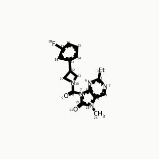 CCc1ncc2c(n1)n(C(=O)N1CC(c3cccc(F)c3)C1)c(=O)n2C